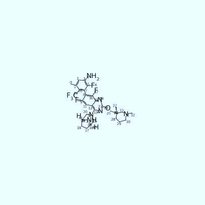 Cc1cc(N)c(F)c(-c2c(F)cc3c(N4C[C@H]5CC[C@@H](C4)N5)nc(OC[C@@]4(C)CCCN(C)C4)nc3c2F)c1C(F)(F)F